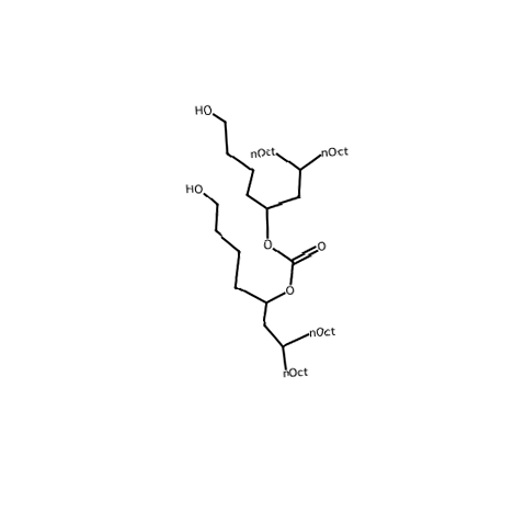 CCCCCCCCC(CCCCCCCC)CC(CCCCO)OC(=O)OC(CCCCO)CC(CCCCCCCC)CCCCCCCC